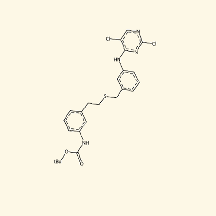 CC(C)(C)OC(=O)Nc1cccc(CCSCc2cccc(Nc3nc(Cl)ncc3Cl)c2)c1